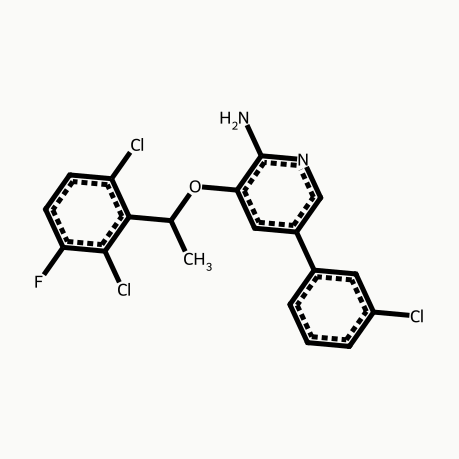 CC(Oc1cc(-c2cccc(Cl)c2)cnc1N)c1c(Cl)ccc(F)c1Cl